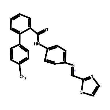 O=C(Nc1ccc(/N=C/c2nccs2)cc1)c1ccccc1-c1ccc(C(F)(F)F)cc1